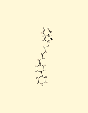 c1ccn2nc(COCCCCN3CCN(C4CCCCC4)CC3)cc2c1